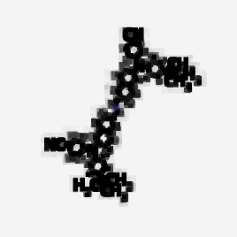 C[Si](C)(C)c1ccc(N(c2ccc(C#N)cc2)c2ccc3cc(/C=C/c4ccc5cc(N(c6ccc(C#N)cc6)c6ccc([Si](C)(C)C)cc6)ccc5c4)ccc3c2)cc1